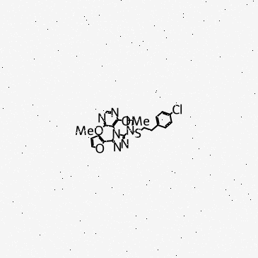 COc1ncnc(OC)c1-n1c(NSCCc2ccc(Cl)cc2)nnc1-c1ccco1